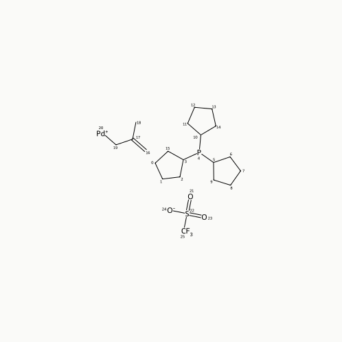 C1CCC(P(C2CCCC2)C2CCCC2)C1.C=C(C)[CH2][Pd+].O=S(=O)([O-])C(F)(F)F